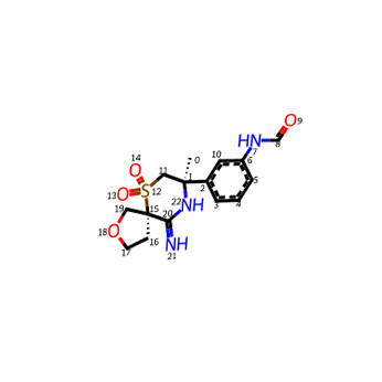 C[C@@]1(c2cccc(NC=O)c2)CS(=O)(=O)[C@@]2(CCOC2)C(=N)N1